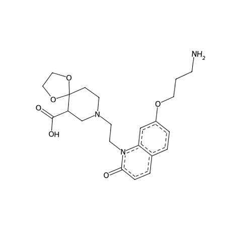 NCCCOc1ccc2ccc(=O)n(CCN3CCC4(OCCO4)C(C(=O)O)C3)c2c1